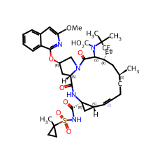 CC[C@@H]1C[C@@H](C)CC/C=C\[C@@H]2C[C@@]2(C(=O)NS(=O)(=O)C2(C)CC2)NC(=O)[C@@H]2C[C@@H](Oc3nc(OC)cc4ccccc34)CN2C(=O)[C@H]1N(C(=O)O)C(C)(C)C(F)(F)F